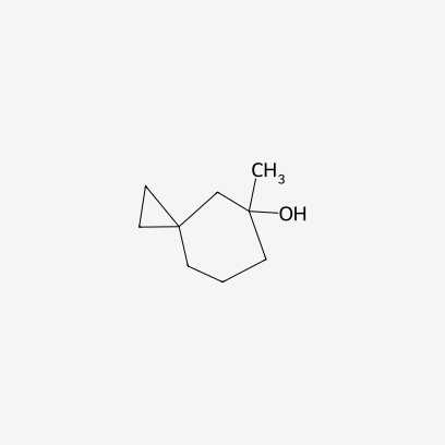 CC1(O)CCCC2(CC2)C1